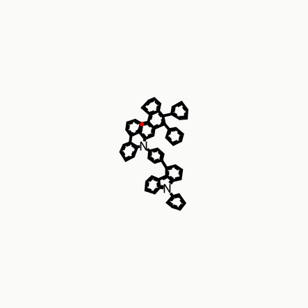 c1ccc(-c2ccccc2N(c2ccc(-c3cccc4c3c3ccccc3n4-c3ccccc3)cc2)c2ccc3c(c2)c(-c2ccccc2)c(-c2ccccc2)c2ccccc23)cc1